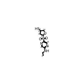 CCNc1cnc(S(=O)(=O)N2CC(S)CO2)cn1